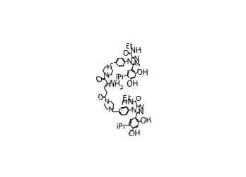 CCNC(=O)c1nnc(-c2cc(C(C)C)c(O)cc2O)n1-c1ccc(CN2CCN(C(=O)CC[C@H](N)C(=O)N3CCN(Cc4ccc(-n5c(C(=O)NCC)nnc5-c5cc(C(C)C)c(O)cc5O)cc4)CC3)CC2)cc1